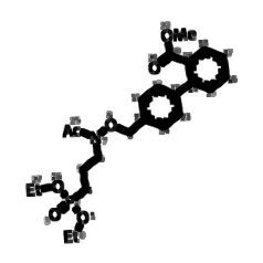 CCOP(=O)(CCCN(OCc1ccc(-c2ccccc2C(=O)OC)cc1)C(C)=O)OCC